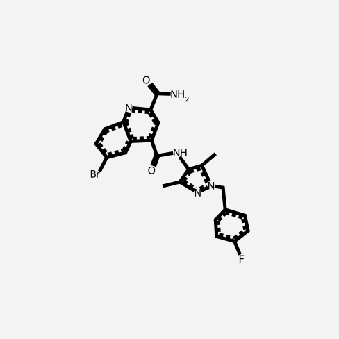 Cc1nn(Cc2ccc(F)cc2)c(C)c1NC(=O)c1cc(C(N)=O)nc2ccc(Br)cc12